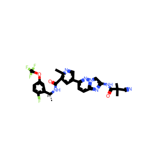 Cc1ncc(-c2ccc3nc(NC(=O)C(C)(C)C#N)cn3n2)cc1C(=O)N[C@H](C)c1cc(OC(F)(F)F)ccc1F